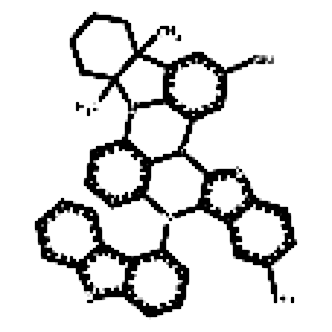 CC(C)(C)c1cc2c3c(c1)C1(C)CCCCC1(C)N3c1cccc3c1B2c1sc2ccc(C(C)(C)C)cc2c1N3c1cccc2oc3ccccc3c12